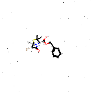 CC1(C)S[C@@H]2[C@@H](Br)C(=O)N2[C@H]1C(=O)OCc1ccccc1